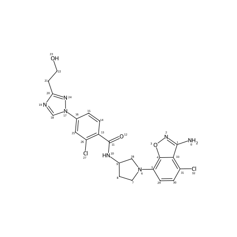 Nc1noc2c(N3CCC(NC(=O)c4ccc(-n5cnc(CCO)n5)cc4Cl)C3)ccc(Cl)c12